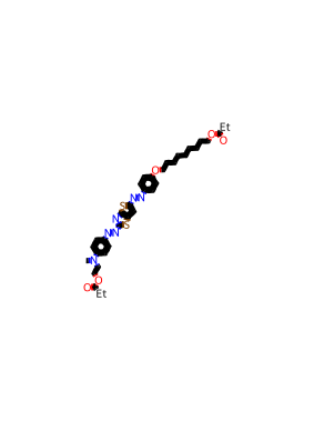 CCC(=O)OCCCCCCCCCOc1ccc(/N=N/c2cc3sc(/N=N/c4ccc(N(C)CCOC(=O)CC)cc4)nc3s2)cc1